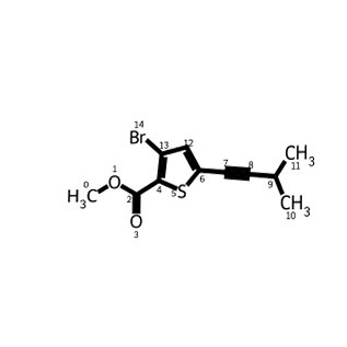 COC(=O)c1sc(C#CC(C)C)cc1Br